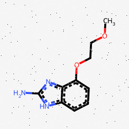 COCCOc1cccc2[nH]c(N)nc12